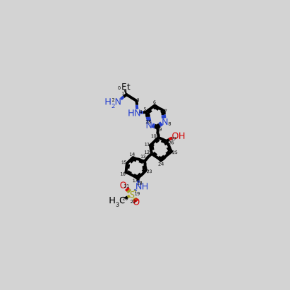 CC[C@H](N)CNc1ccnc(-c2cc(-c3cccc(NS(C)(=O)=O)c3)ccc2O)n1